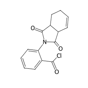 O=C(Cl)c1ccccc1N1C(=O)C2C=CCCC2C1=O